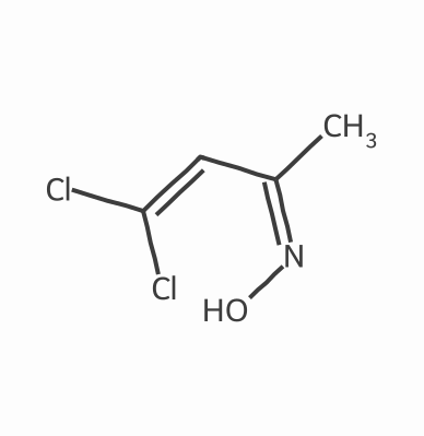 CC(C=C(Cl)Cl)=NO